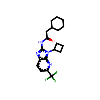 O=C(CC1CCCCC1)Nc1nc2ccc(C(F)(F)F)nc2n1C1CCC1